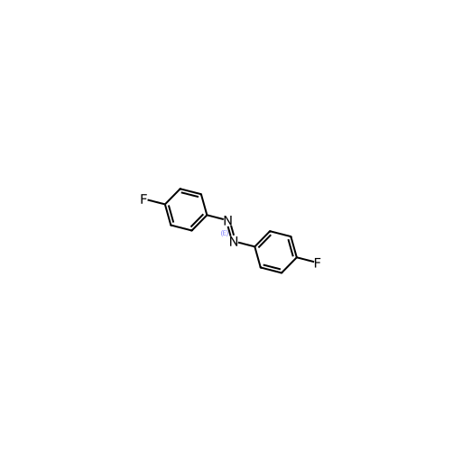 Fc1ccc(/N=N/c2ccc(F)cc2)cc1